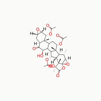 CC(=O)O[C@H]1[C@@H]2[C@H]([C@H](C)[C@H]3O[C@]34OC(=O)[C@@](C)(O)[C@]24C)[C@@]2(C)[C@@H](OC(C)=O)CC3C([C@H]12)[C@@H](O)C(=O)[C@H]1C[C@@H]2O[C@@H]2[C@H](OC(C)=O)[C@]31C